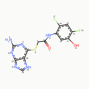 Nc1nc(SCC(=O)Nc2cc(O)c(F)cc2F)c2[nH]cnc2n1